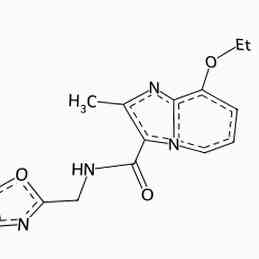 CCOc1cccn2c(C(=O)NCc3ncco3)c(C)nc12